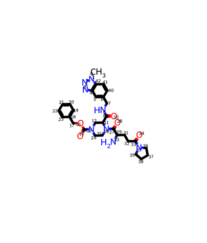 Cn1nnc2cc(CNC(=O)C3CN(C(=O)OCc4ccccc4)CCN3C(=O)C(N)CCC(=O)N3CCCC3)ccc21